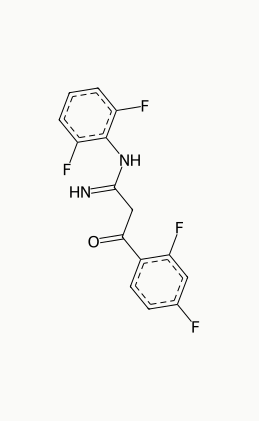 N=C(CC(=O)c1ccc(F)cc1F)Nc1c(F)cccc1F